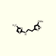 COc1cc(CCNc2ncc(C)o2)on1